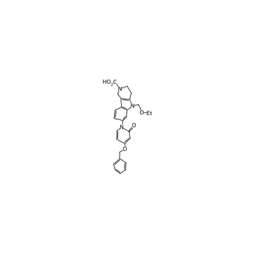 CCOCn1c2c(c3ccc(-n4ccc(OCc5ccccc5)cc4=O)cc31)CN(C(=O)O)CC2